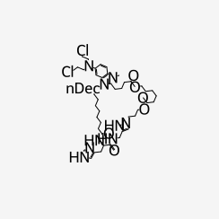 CCCCCCCCCCCCCCCCCC(=O)NC(Cc1c[nH]cn1)C(=O)NCc1cn(CCCOC2CCCC(COC(=O)CCCc3nc4cc(N(CCCl)CCCl)ccc4n3C)O2)[nH]1